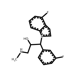 CNCC(O)C(c1cccc(F)c1)n1ccc2c(F)cccc21